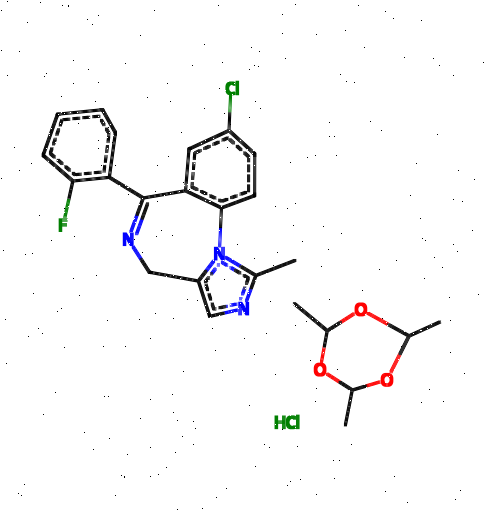 CC1OC(C)OC(C)O1.Cc1ncc2n1-c1ccc(Cl)cc1C(c1ccccc1F)=NC2.Cl